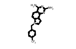 Nc1nc(N)c2ccc3c(ccn3Cc3ccc(C(F)(F)F)cc3)c2n1